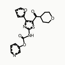 O=C(Nc1nc(-c2ccco2)c(C(=O)C2CCOCC2)s1)Oc1cccnc1